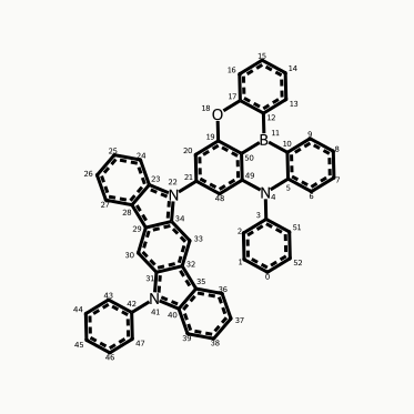 c1ccc(N2c3ccccc3B3c4ccccc4Oc4cc(-n5c6ccccc6c6cc7c(cc65)c5ccccc5n7-c5ccccc5)cc2c43)cc1